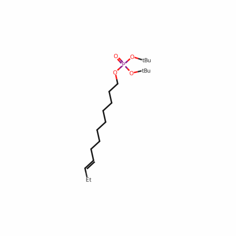 CC/C=C/CCCCCCCCOP(=O)(OC(C)(C)C)OC(C)(C)C